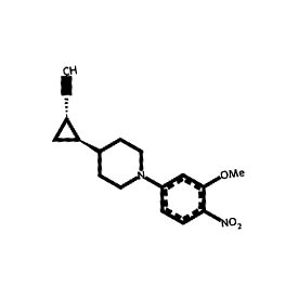 C#C[C@H]1C[C@@H]1C1CCN(c2ccc([N+](=O)[O-])c(OC)c2)CC1